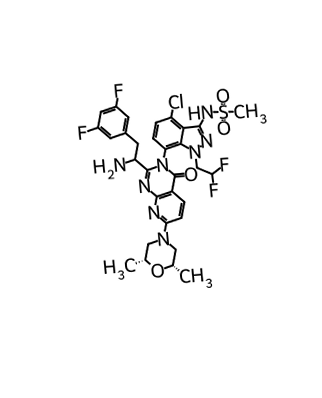 C[C@@H]1CN(c2ccc3c(=O)n(-c4ccc(Cl)c5c(NS(C)(=O)=O)nn(CC(F)F)c45)c(C(N)Cc4cc(F)cc(F)c4)nc3n2)C[C@H](C)O1